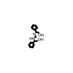 OCC([N]CNC(CO)c1ccccc1)c1ccccc1